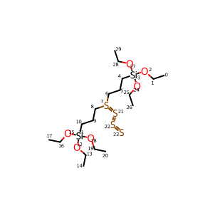 CCO[Si](CCCS(CCC[Si](OCC)(OCC)OCC)=S=S=S)(OCC)OCC